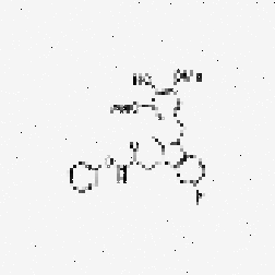 COc1cc(CC2C(C)=C(CC(=O)NOc3ccccc3)c3cc(F)ccc32)cc(OC)c1O